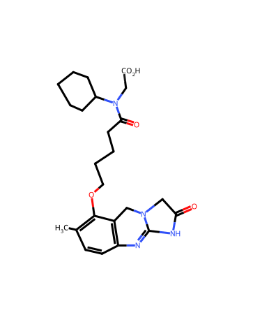 Cc1ccc2c(c1OCCCCC(=O)N(CC(=O)O)C1CCCCC1)CN1CC(=O)NC1=N2